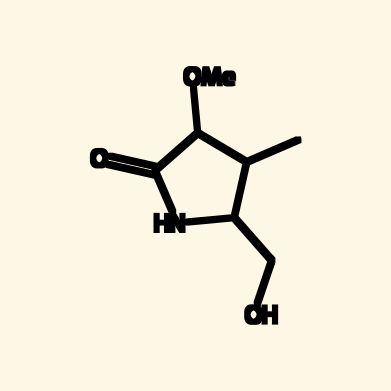 COC1C(=O)NC(CO)C1C